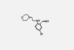 N=Cc1cc(Br)ccc1NCCN1CCOCC1